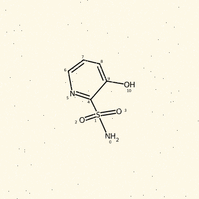 NS(=O)(=O)c1ncccc1O